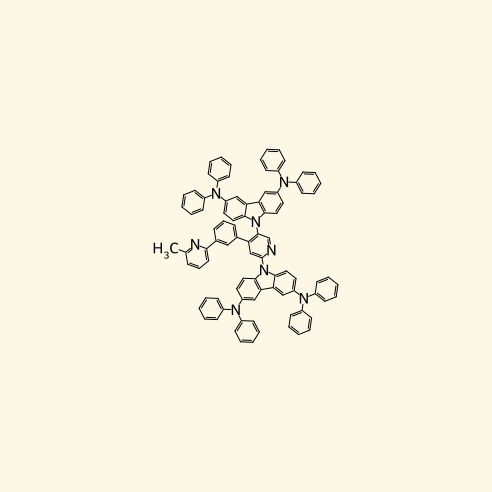 Cc1cccc(-c2cccc(-c3cc(-n4c5ccc(N(c6ccccc6)c6ccccc6)cc5c5cc(N(c6ccccc6)c6ccccc6)ccc54)ncc3-n3c4ccc(N(c5ccccc5)c5ccccc5)cc4c4cc(N(c5ccccc5)c5ccccc5)ccc43)c2)n1